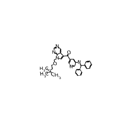 C[Si](C)(C)CCOCn1cc(C(=O)c2cncc(N=C(c3ccccc3)c3ccccc3)c2)c2cncnc21